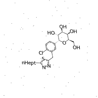 CCCCCCCc1nnc(Cc2cc([C@H]3O[C@H](CO)[C@H](O)[C@H](O)[C@H]3O)ccc2Cl)s1